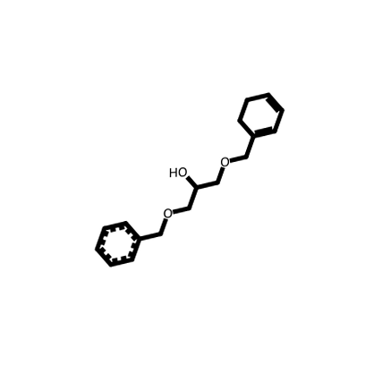 OC(COCC1=CC=CCC1)COCc1ccccc1